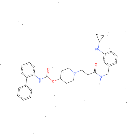 CN(Cc1cccc(NC2CC2)c1)C(=O)CCN1CCC(OC(=O)Nc2ccccc2-c2ccccc2)CC1